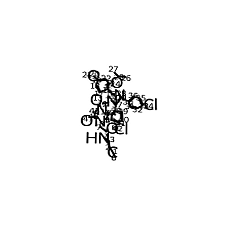 CCCCNC(=O)CN1CCN(C(=O)N2C(c3ccc(OC)cc3OC(C)C)=N[C@@H](c3ccc(Cl)cc3)[C@H]2c2ccc(Cl)cc2)CC1=O